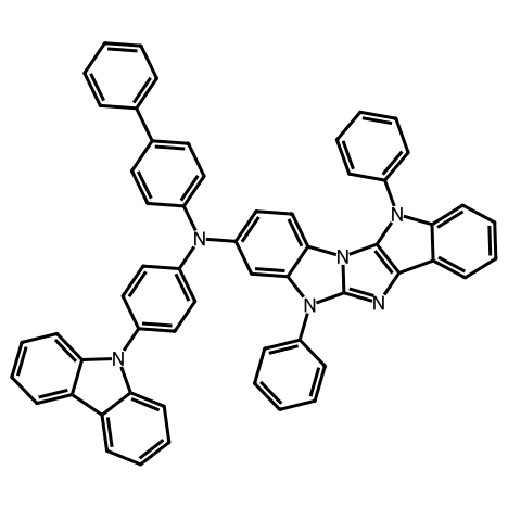 c1ccc(-c2ccc(N(c3ccc(-n4c5ccccc5c5ccccc54)cc3)c3ccc4c(c3)n(-c3ccccc3)c3nc5c6ccccc6n(-c6ccccc6)c5n43)cc2)cc1